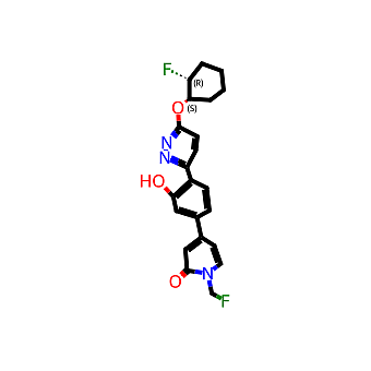 O=c1cc(-c2ccc(-c3ccc(O[C@H]4CCCC[C@H]4F)nn3)c(O)c2)ccn1CF